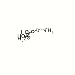 C=C(CO)C(=O)OCC(CO)c1ccc(C2CCC(CCCCC)CC2)cc1